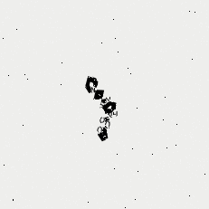 O=C(Nc1ccc2nc([C@H]3C[C@@H](N4CCCCC4)C3)sc2c1)Oc1ccco1